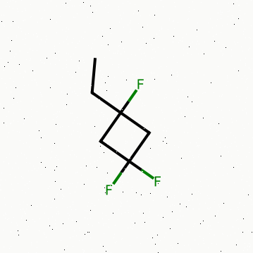 CCC1(F)CC(F)(F)C1